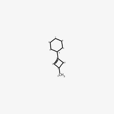 CC1C=C(C2CCCCC2)C1